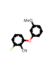 COc1cccc(Oc2cccc(F)c2C#N)c1